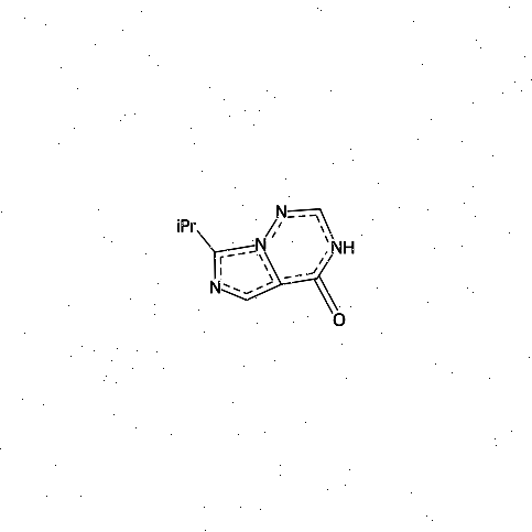 CC(C)c1ncc2c(=O)[nH]cnn12